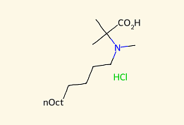 CCCCCCCCCCCCN(C)C(C)(C)C(=O)O.Cl